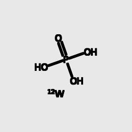 O=P(O)(O)O.[12W]